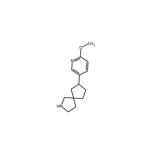 COc1ccc(C2CCC3(CCNC3)C2)cn1